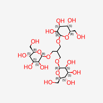 OC[C@H]1O[C@@H](OCC(CO[C@@H]2O[C@H](CO)[C@@H](O)[C@H](O)[C@@H]2O)CO[C@@H]2O[C@H](CO)[C@@H](O)[C@H](O)[C@@H]2O)[C@@H](O)[C@@H](O)[C@@H]1O